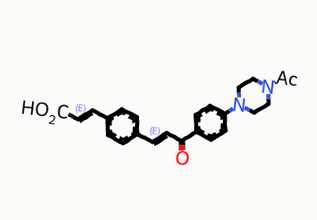 CC(=O)N1CCN(c2ccc(C(=O)/C=C/c3ccc(/C=C/C(=O)O)cc3)cc2)CC1